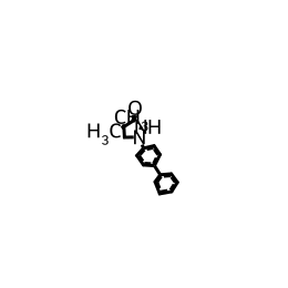 CC1(C)CN(c2ccc(-c3ccccc3)cc2)NC1=O